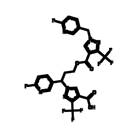 O=C(O)c1cn(C(CCOC(=O)c2cn(Cc3ccc(F)nc3)nc2C(F)(F)F)c2ccc(F)nc2)nc1C(F)(F)F